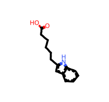 O=C(O)CCCCCc1cc2ccccc2[nH]1